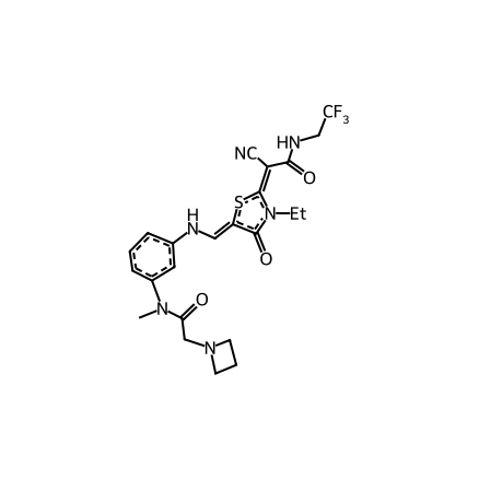 CCn1c(=C(C#N)C(=O)NCC(F)(F)F)sc(=CNc2cccc(N(C)C(=O)CN3CCC3)c2)c1=O